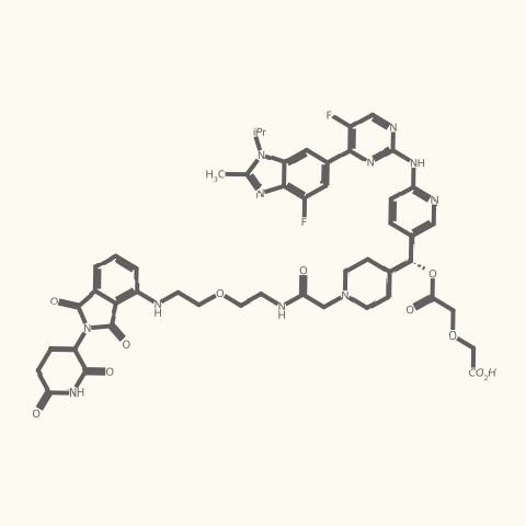 Cc1nc2c(F)cc(-c3nc(Nc4ccc([C@H](OC(=O)COCC(=O)O)C5CCN(CC(=O)NCCOCCNc6cccc7c6C(=O)N(C6CCC(=O)NC6=O)C7=O)CC5)cn4)ncc3F)cc2n1C(C)C